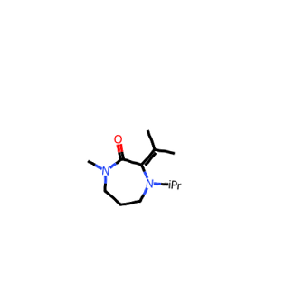 CC(C)=C1C(=O)N(C)CCCN1C(C)C